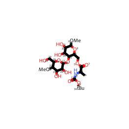 COC1OC(COC(=O)C(C)NC(=O)OC(C)(C)C)C(OC2OC(CO)C(OC)C(O)C2O)C(O)C1O